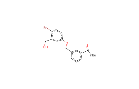 CCCCC(=O)c1cccc(COc2ccc(Br)c(CO)c2)c1